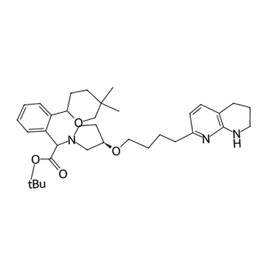 CC1(C)CCC(c2ccccc2C(C(=O)OC(C)(C)C)N2CC[C@@H](OCCCCc3ccc4c(n3)NCCC4)C2)OC1